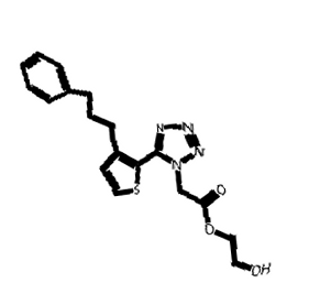 O=C(Cn1nnnc1-c1sccc1CCCc1ccccc1)OCCO